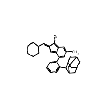 Cc1cc(-c2ccccc2C2C3CC4CC(C3)CC2C4)c2c(c1)=[C]([Zr])C(=CC1CCCCC1)C=2